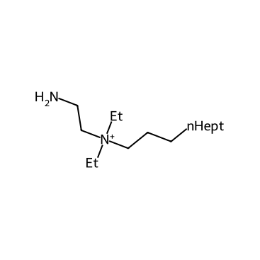 CCCCCCCCCC[N+](CC)(CC)CCN